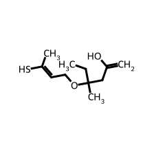 C=C(O)CC(C)(CC)OC/C=C(\C)S